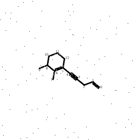 C=CCC#CC1=C(C)C(C)CCC1